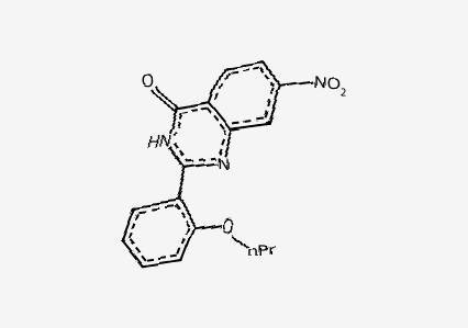 CCCOc1ccccc1-c1nc2cc([N+](=O)[O-])ccc2c(=O)[nH]1